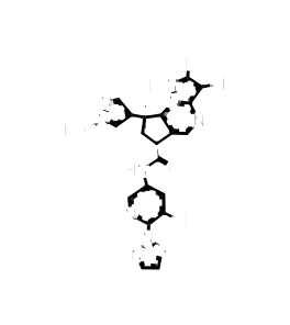 Cn1cc([C@]2(C)C[C@H](C(=O)Nc3cnc(-n4nccn4)c(Cl)c3)c3cnc4c(Cl)c(F)nn4c32)cn1